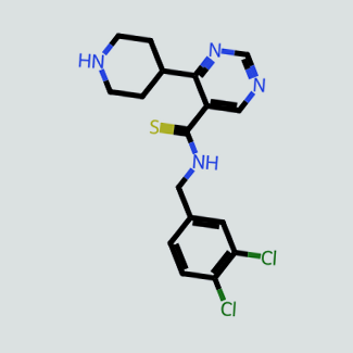 S=C(NCc1ccc(Cl)c(Cl)c1)c1cncnc1C1CCNCC1